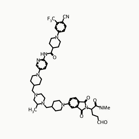 CNC(=O)C(CCC=O)N1C(=O)c2ccc(N3CCC(CN4CCN(CC5CCN(c6ccc(NC(=O)C7CCN(c8ccc(C#N)c(C(F)(F)F)c8)CC7)nc6)CC5)CC4C)CC3)cc2C1=O